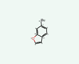 CCC(C)c1ccc2[c]coc2c1